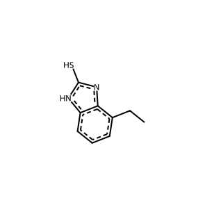 CCc1cccc2[nH]c(S)nc12